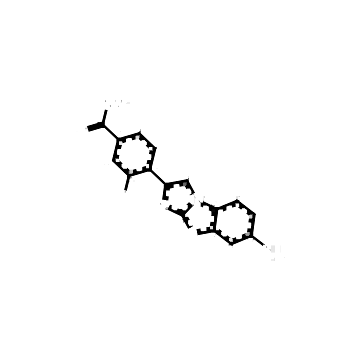 CNC(=O)c1ccc(-c2cn3c(n2)sc2cc(N)ccc23)c(F)c1